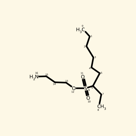 CCCCCCC(CC)S(=O)(=O)OCCCN